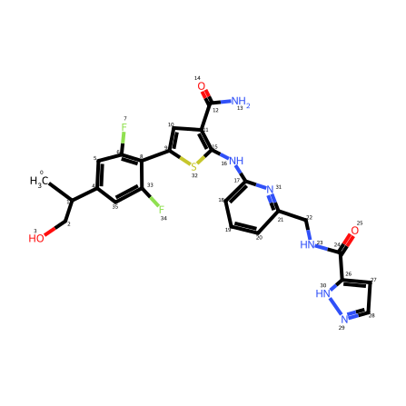 CC(CO)c1cc(F)c(-c2cc(C(N)=O)c(Nc3cccc(CNC(=O)c4ccn[nH]4)n3)s2)c(F)c1